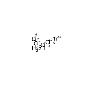 S.[Cl-].[Cl-].[Cl-].[Cl-].[Ti+4]